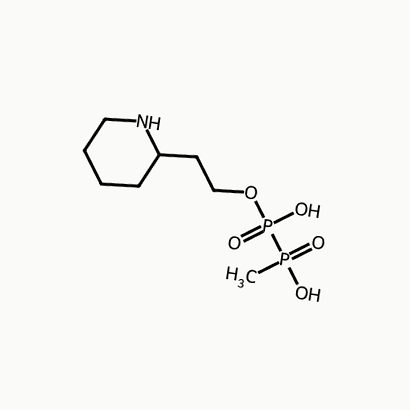 CP(=O)(O)P(=O)(O)OCCC1CCCCN1